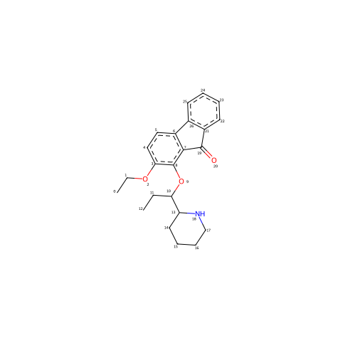 CCOc1ccc2c(c1OC(CC)C1CCCCN1)C(=O)c1ccccc1-2